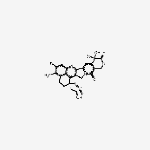 CC[C@@]1(O)C(=O)OCc2c1cc1n(c2=O)Cc2c-1nc1cc(F)c(C)c3c1c2[C@@](CCO)(N=[N+]=[N-])CC3